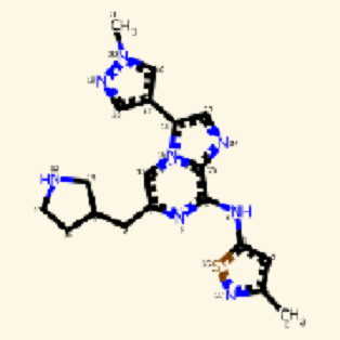 Cc1cc(Nc2nc(CC3CCNC3)cn3c(-c4cnn(C)c4)cnc23)sn1